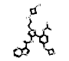 O=C(Nc1cn(CCN[C@H]2C[C@H](O)C2)nc1-c1cc(SC2COC2)ccc1OC(F)F)c1cnn2cccnc12